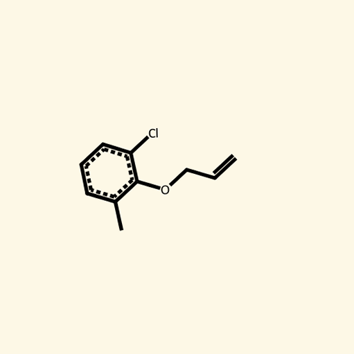 C=CCOc1c(C)cccc1Cl